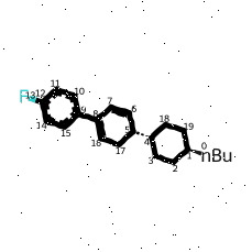 CCCC[C@H]1CC[C@H](C2C=CC(c3ccc(F)cc3)=CC2)CC1